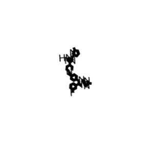 Cc1cccc(-c2nc(C3CCN(Cc4ccc(-c5nc6nc(C)nn6cc5-c5cccc(F)c5)cc4)CC3)n[nH]2)n1